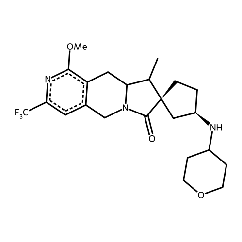 COc1nc(C(F)(F)F)cc2c1CC1C(C)[C@@]3(CC[C@@H](NC4CCOCC4)C3)C(=O)N1C2